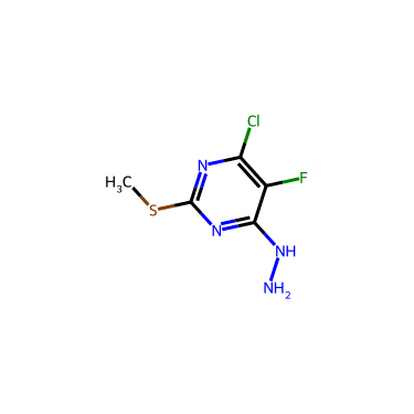 CSc1nc(Cl)c(F)c(NN)n1